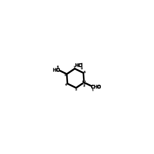 Cl.O=CN1CCC(O)CC1